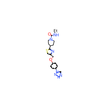 CCNC(=O)N1CCC(c2nc(COc3ccc(-n4cnnn4)cc3)cs2)CC1